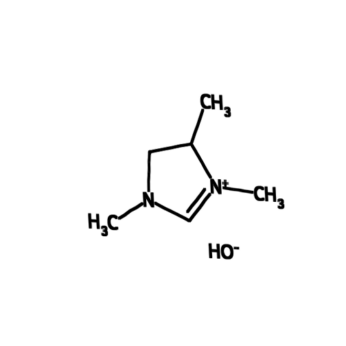 CC1CN(C)C=[N+]1C.[OH-]